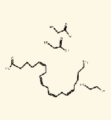 CCCCC/C=C\C/C=C\C/C=C\C/C=C\CCCC(=O)O.O=C(O)CS.O=C(O)CS.OCCO